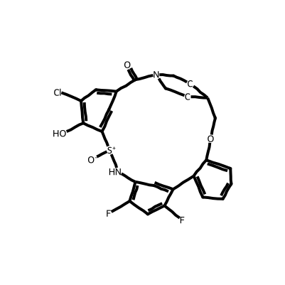 O=C1c2cc(Cl)c(O)c(c2)[S+]([O-])Nc2cc(c(F)cc2F)-c2ccccc2OCC2CCN1CC2